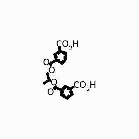 CC(COC(=O)c1cccc(C(=O)O)c1)OC(=O)c1cccc(C(=O)O)c1